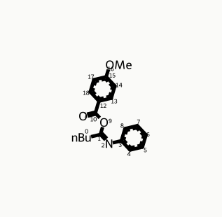 CCCCC(=Nc1ccccc1)OC(=O)c1ccc(OC)cc1